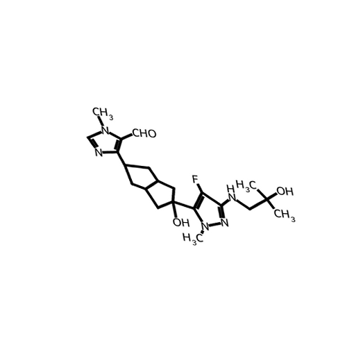 Cn1cnc(C2CC3CC(O)(c4c(F)c(NCC(C)(C)O)nn4C)CC3C2)c1C=O